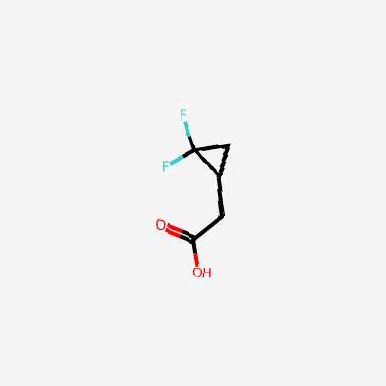 O=C(O)CC1CC1(F)F